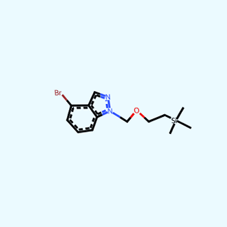 C[Si](C)(C)CCOCn1ncc2c(Br)cccc21